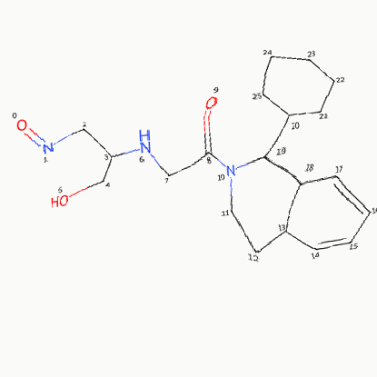 O=NCC(CO)NCC(=O)N1CCC2C=CC=CC2C1C1CCCCC1